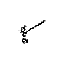 CCCCCCCCCCCCCOC(=O)C(CC(=O)OC1CC(C)(C)NC(C)(C)C1)C(CC(=O)O)C(=O)O